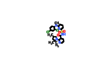 CC1CN(c2ncccc2C(=O)NS(=O)(=O)c2cccc(N(C)c3ccc(Cl)cc3Cl)n2)C(C)(C)C1